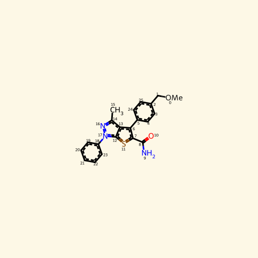 COCc1ccc(-c2c(C(N)=O)sc3c2c(C)nn3-c2ccccc2)cc1